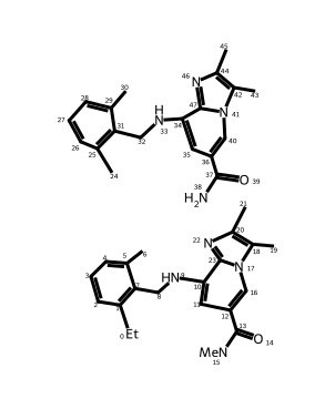 CCc1cccc(C)c1CNc1cc(C(=O)NC)cn2c(C)c(C)nc12.Cc1cccc(C)c1CNc1cc(C(N)=O)cn2c(C)c(C)nc12